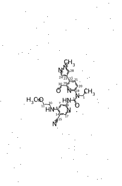 CCN(C(=O)Nc1cc(NCCOC)c(C#N)cn1)c1ccc(-c2cnn(C)c2)c(C=O)n1